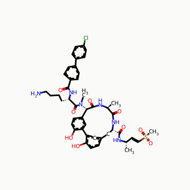 C[C@@H]1NC(=O)[C@@H](N(C)C(=O)[C@H](CCCCN)NC(=O)c2ccc(-c3ccc(Cl)cc3)cc2)c2ccc(O)c(c2)-c2cc(ccc2O)C[C@@H](C(=O)N[C@@H](C)/C=C/S(C)(=O)=O)NC1=O